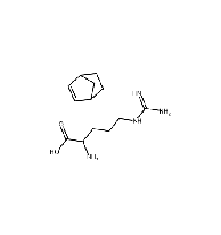 C1=CC2CCC1C2.N=C(N)NCCCC(N)C(=O)O